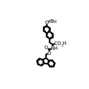 CC(C)(C)Oc1ccc2cc(CC(NC(=O)OCC3c4ccccc4-c4ccccc43)C(=O)O)ccc2c1